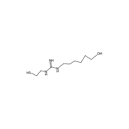 N=C(NCCS)NCCCCCCO